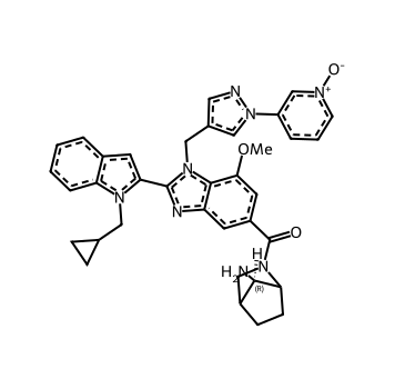 COc1cc(C(=O)N2CC3CCC2[C@@H]3N)cc2nc(-c3cc4ccccc4n3CC3CC3)n(Cc3cnn(-c4ccc[n+]([O-])c4)c3)c12